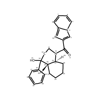 O=C(c1cn2ccccc2n1)N1CCC(O)(c2ccccc2)[C@H]2CCCC[C@@H]21